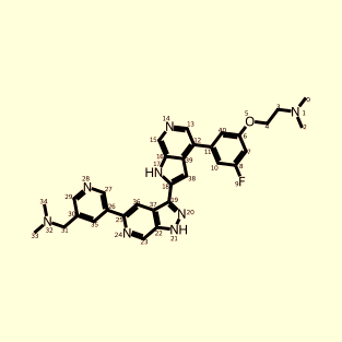 CN(C)CCOc1cc(F)cc(-c2cncc3[nH]c(-c4n[nH]c5cnc(-c6cncc(CN(C)C)c6)cc45)cc23)c1